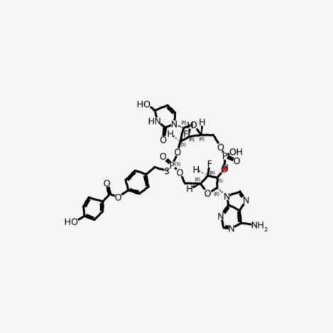 Nc1ncnc2c1ncn2[C@@H]1O[C@@H]2CO[P@](=O)(SCc3ccc(OC(=O)c4ccc(O)cc4)cc3)O[C@@H]3[C@H](F)[C@@H](COP(=O)(O)O[C@@H]1[C@@H]2F)O[C@H]3N1C=CC(O)NC1=O